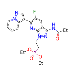 CCOP(=O)(CCn1nc(NC(=O)CC)c2cc(F)c(-c3cnn4ccccc34)nc21)OCC